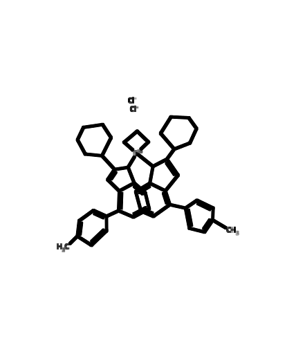 Cc1ccc(-c2cccc3c2C=C(C2CCCCC2)[CH]3[Ti+2]2([CH]3C(C4CCCCC4)=Cc4c(-c5ccc(C)cc5)cccc43)[CH2]C[CH2]2)cc1.[Cl-].[Cl-]